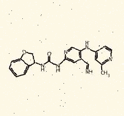 Cc1cc(Nc2cnc(NC(=O)NC3COc4ccccc43)cc2C=N)ccn1